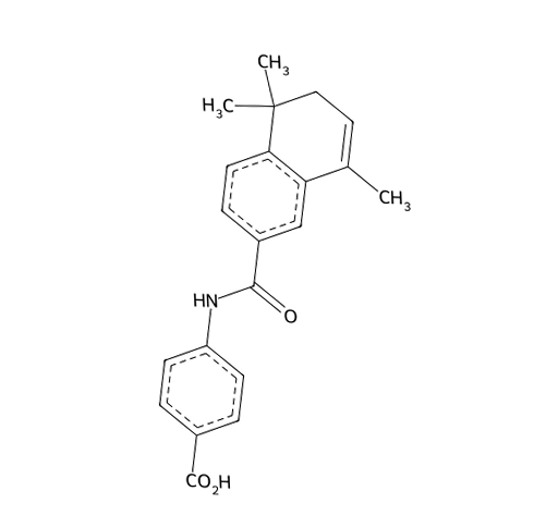 CC1=CCC(C)(C)c2ccc(C(=O)Nc3ccc(C(=O)O)cc3)cc21